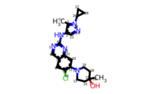 Cc1c(Nc2ncc3cc(Cl)c(N4CCC(C)(O)CC4)cc3n2)cnn1C1CC1